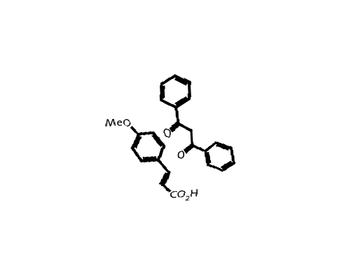 COc1ccc(C=CC(=O)O)cc1.O=C(CC(=O)c1ccccc1)c1ccccc1